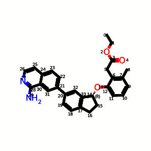 CCOC(=O)Cc1c(C)cccc1O[C@@H]1CCc2ccc(-c3ccc4ccnc(N)c4c3)cc21